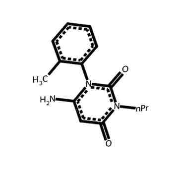 CCCn1c(=O)cc(N)n(-c2ccccc2C)c1=O